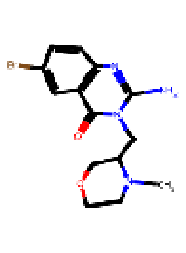 CN1CCOCC1Cn1c(N)nc2ccc(Br)cc2c1=O